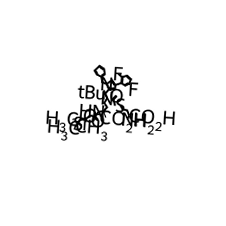 CC(C)(C)[C@H](c1cc(-c2cc(F)ccc2F)cn1Cc1ccccc1)N(CC[C@H](NC(=O)OCC[Si](C)(C)C)C(=O)O)C(=O)CSCCC(N)C(=O)O